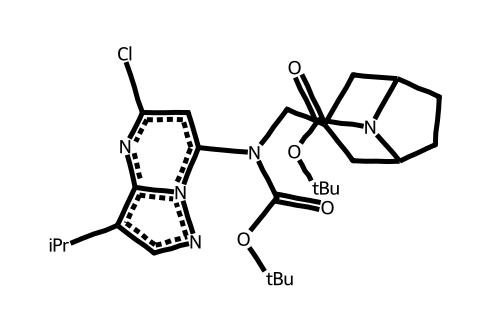 CC(C)c1cnn2c(N(CC3CC4CCC(C3)N4C(=O)OC(C)(C)C)C(=O)OC(C)(C)C)cc(Cl)nc12